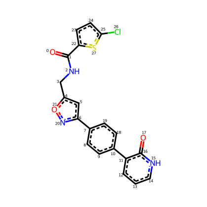 O=C(NCc1cc(-c2ccc(-c3ccc[nH]c3=O)cc2)no1)c1ccc(Cl)s1